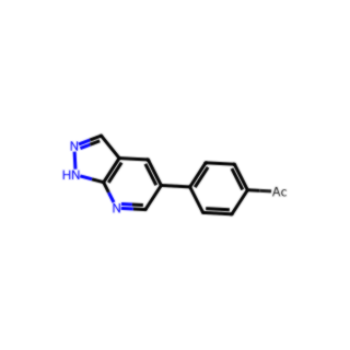 CC(=O)c1ccc(-c2cnc3[nH]ncc3c2)cc1